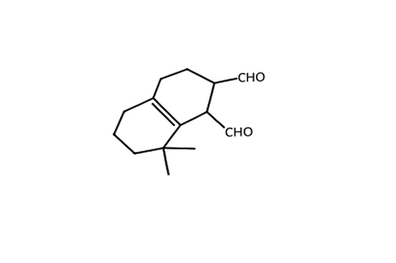 CC1(C)CCCC2=C1C(C=O)C(C=O)CC2